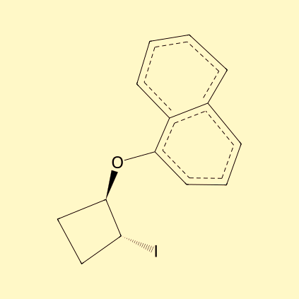 I[C@@H]1CC[C@H]1Oc1cccc2ccccc12